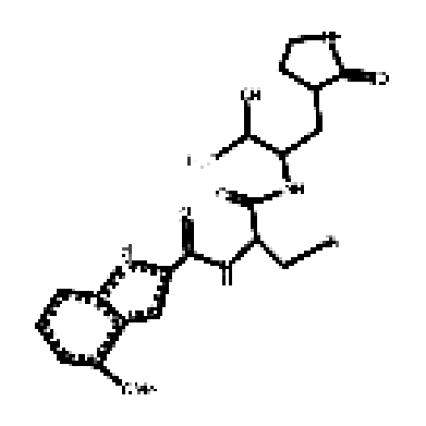 COc1cccc2[nH]c(C(=O)NC(CC(C)C)C(=O)NC(CC3CCNC3=O)C(C)C#N)cc12